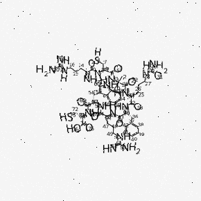 CC(C)(NC(=O)[C@H](CS)NC(=O)[C@@H](N)CCCNC(=N)N)C(=O)N[C@@H](CCCNC(N)=O)C(=O)N[C@H](Cc1ccccc1)C(=O)N[C@@H](CCCNC(=N)N)C(=O)N[C@@H](Cc1c[nH]c2ccccc12)C(=O)N[C@@H](CS)C(=O)O